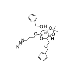 CC1(C)O[C@@H]2C(OCc3ccccc3)[C@H](OCCCN=[N+]=[N-])OC(COCc3ccccc3)[C@@H]2O1